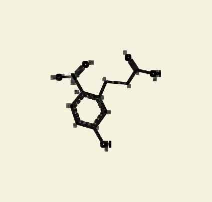 O=C(O)CCc1cc(O)ccc1[N+](=O)[O-]